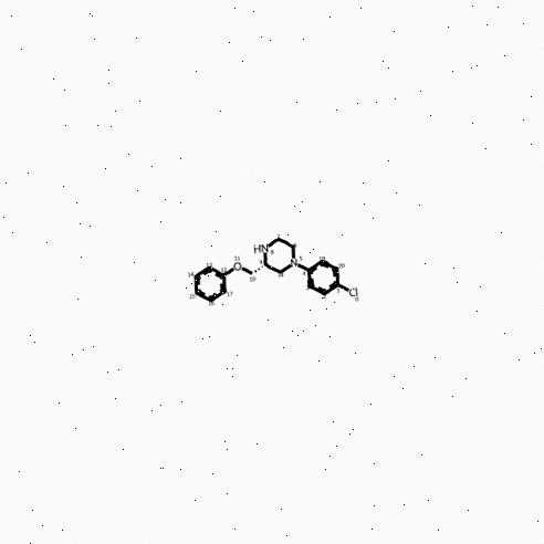 Clc1ccc(N2CCN[C@@H](COc3ccccc3)C2)cc1